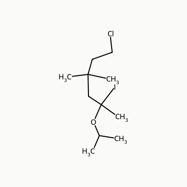 CC(C)OC(C)(I)CC(C)(C)CCCl